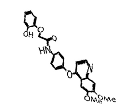 COc1cc2nccc(Oc3ccc(NC(=O)COc4ccccc4O)cc3)c2cc1OC